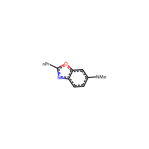 CCCc1nc2ccc(NC)cc2o1